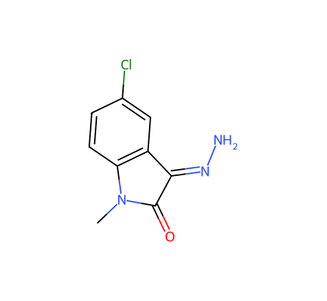 CN1C(=O)/C(=N/N)c2cc(Cl)ccc21